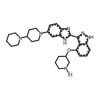 CCN1CCCC(Oc2cccc3[nH]nc(-c4nc5ccc(N6CCC(N7CCCCC7)CC6)cc5[nH]4)c23)C1